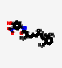 CC(C=CC1=C(C)CCCC1(C)C)=CC=CC(C)=CC(=O)Nc1ccc(O)c([N+](=O)[O-])c1